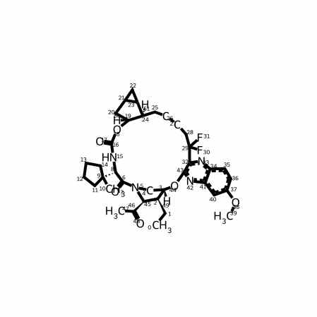 CC[C@@H]1[C@@H]2CN(C(=O)[C@H](C3(C)CCCC3)NC(=O)O[C@@H]3CC4CC4[C@H]3CCCCC(F)(F)c3nc4ccc(OC)cc4nc3O2)[C@@H]1C(C)=O